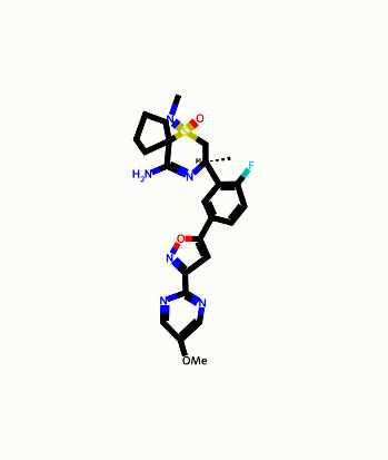 CN=S1(=O)C[C@@](C)(c2cc(-c3cc(-c4ncc(OC)cn4)no3)ccc2F)N=C(N)C12CCCC2